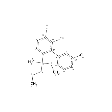 [CH2]CC(C)(CCC)c1ccc(F)c(F)c1-c1ccnc(Cl)c1